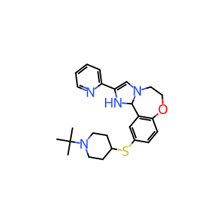 CC(C)(C)N1CCC(Sc2ccc3c(c2)C2NC(c4ccccn4)=CN2CCO3)CC1